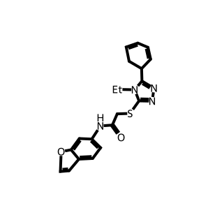 CCn1c(SCC(=O)Nc2ccc3ccoc3c2)nnc1C1C=CC=CC1